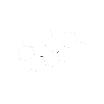 C=C(C)[C@@H]1CCC(C)=C[C@H]1C1=C(O)C=C(O)C([C@@H]2C=C(C)CC[C@H]2C(=C)C)C1Br